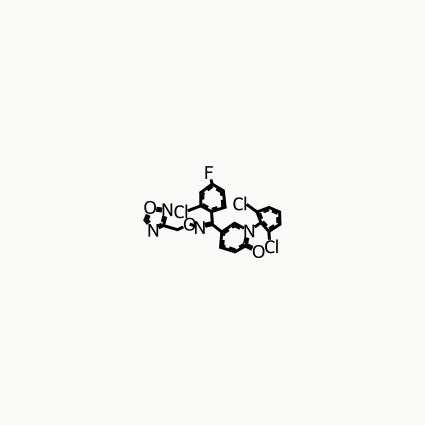 O=c1ccc(/C(=N/OCc2ncon2)c2ccc(F)cc2Cl)cn1-c1c(Cl)cccc1Cl